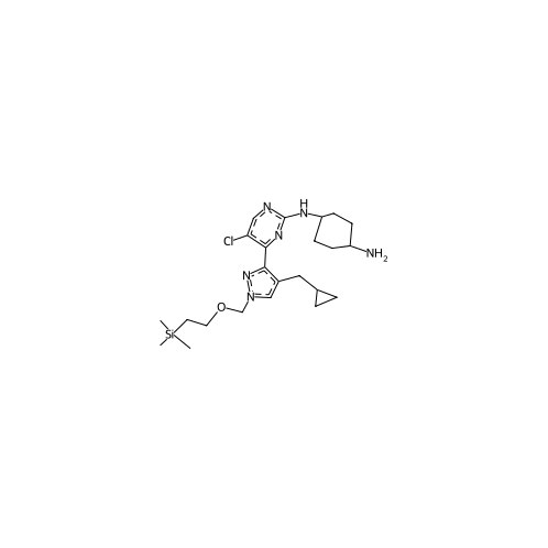 C[Si](C)(C)CCOCn1cc(CC2CC2)c(-c2nc(NC3CCC(N)CC3)ncc2Cl)n1